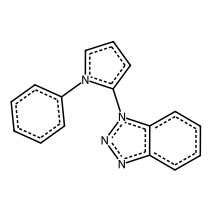 c1ccc(-n2cccc2-n2nnc3ccccc32)cc1